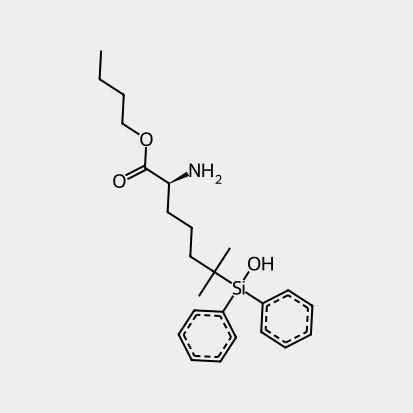 CCCCOC(=O)[C@@H](N)CCCC(C)(C)[Si](O)(c1ccccc1)c1ccccc1